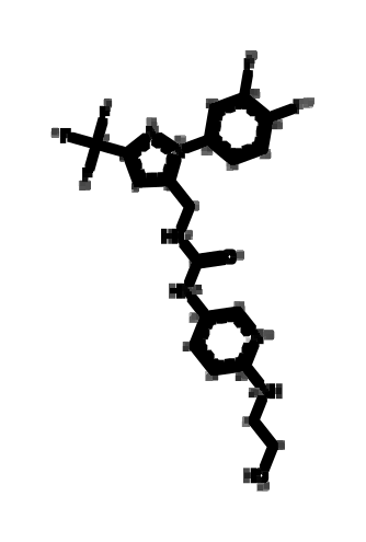 O=C(NCc1cc(C(F)(F)F)nn1-c1ccc(F)c(F)c1)Nc1ccc(NCCO)nc1